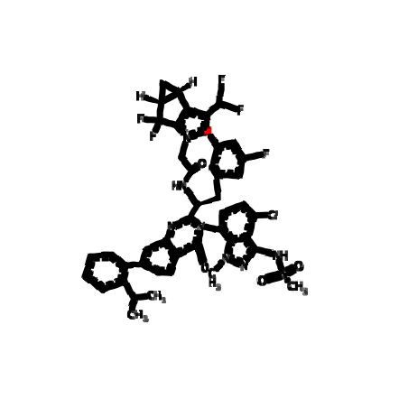 CC(C)c1ccccc1-c1ccc2c(=O)n(-c3ccc(Cl)c4c(NS(C)(=O)=O)nn(C)c34)c([C@H](Cc3cc(F)cc(F)c3)NC(=O)Cn3nc(C(F)F)c4c3C(F)(F)[C@@H]3C[C@H]43)nc2c1